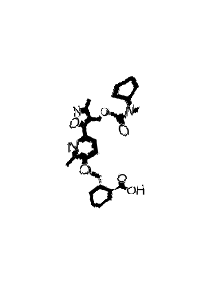 Cc1nc(-c2onc(C)c2COC(=O)N(C)C2CCCC2)ccc1OC[C@H]1CCCC[C@@H]1C(=O)O